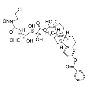 C[C@]12CC[C@@H]3c4ccc(OC(=O)c5ccccc5)cc4CC[C@H]3[C@@H]1CC[C@@H]2C(OC(=O)[C@@H](O)[C@@H](O)[C@H](O)[C@H](C=O)NC(=O)N(CCCl)N=O)C(=O)O